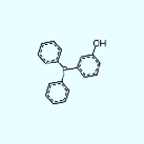 Oc1cccc(P(c2ccccc2)c2ccccc2)c1